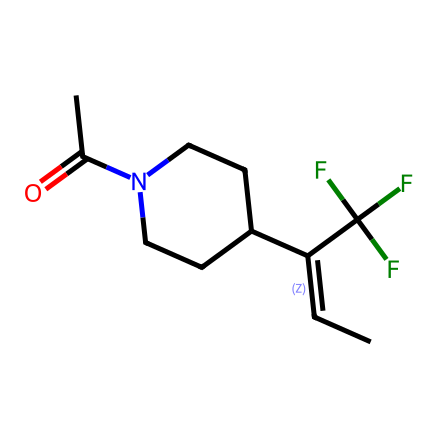 C/C=C(/C1CCN(C(C)=O)CC1)C(F)(F)F